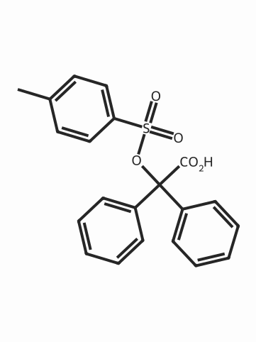 Cc1ccc(S(=O)(=O)OC(C(=O)O)(c2ccccc2)c2ccccc2)cc1